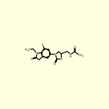 CCN1C(=O)Cc2cc(N3CC(CNC(C)=O)OC3=O)cc(F)c21